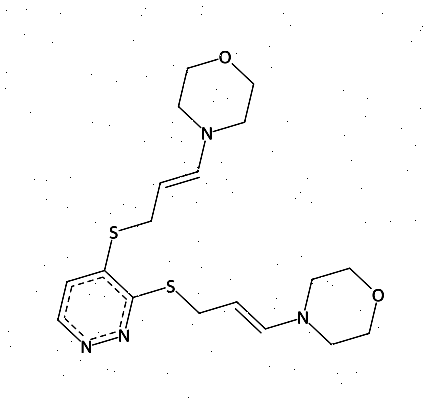 C(=CN1CCOCC1)CSc1ccnnc1SCC=CN1CCOCC1